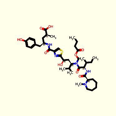 CCCC(=O)OCN(C(=O)[C@@H](NC(=O)[C@H]1CCCCCN1C)C(C)CC)[C@H](C[C@@H](O)c1nc(C(=O)N[C@@H](Cc2ccc(O)cc2)C[C@H](C)C(=O)O)cs1)C(C)C